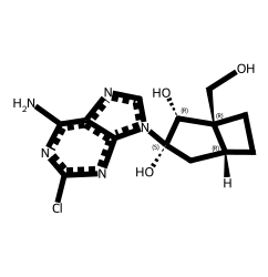 Nc1nc(Cl)nc2c1ncn2[C@]1(O)C[C@H]2CC[C@@]2(CO)[C@H]1O